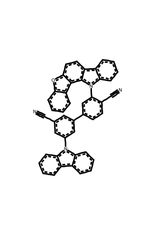 N#Cc1cc(-c2ccc(C#N)c(-n3c4ccccc4c4ccc5oc6ccccc6c5c43)c2)cc(-n2c3ccccc3c3ccccc32)c1